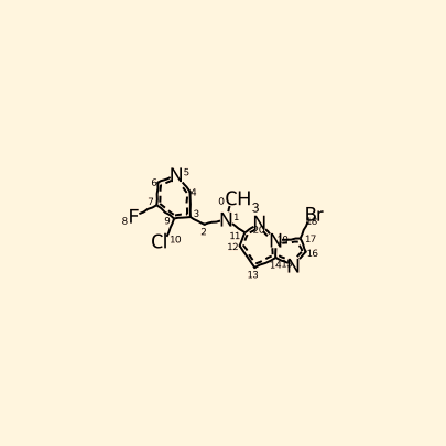 CN(Cc1cncc(F)c1Cl)c1ccc2ncc(Br)n2n1